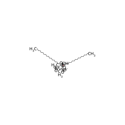 CCCCCCCCCCCCCCCCCCC1(Cl)C([N+](=O)[O-])=C(C)C([N+](=O)[O-])=C(C)C1(CCCCCCCCCCCCCCCCCC)S(=O)(=O)O